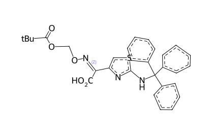 CC(C)(C)C(=O)OCO/N=C(\C(=O)O)c1csc(NC(c2ccccc2)(c2ccccc2)c2ccccc2)n1